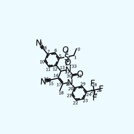 CCS(=O)(=O)c1cc(C#N)ccc1C1C(C#N)=C(C)N(c2cccc(C(F)(F)F)c2)C(=O)N1C